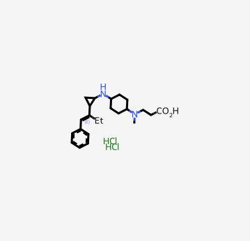 CC/C(=C\c1ccccc1)C1CC1NC1CCC(N(C)CCC(=O)O)CC1.Cl.Cl